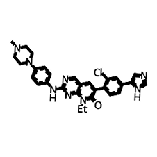 CCn1c(=O)c(-c2ccc(-c3cnc[nH]3)cc2Cl)cc2cnc(Nc3ccc(N4CCN(C)CC4)cc3)nc21